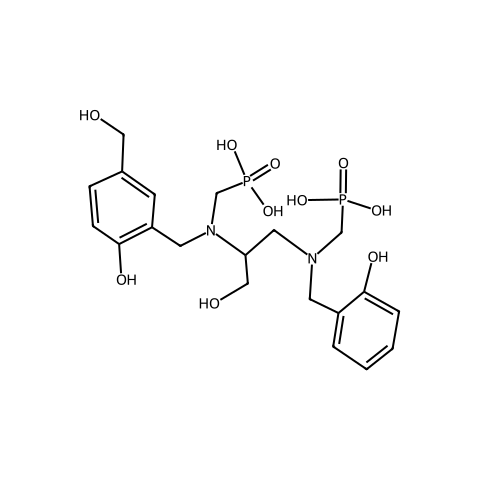 O=P(O)(O)CN(Cc1ccccc1O)CC(CO)N(Cc1cc(CO)ccc1O)CP(=O)(O)O